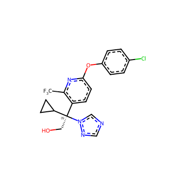 OC[C@@](c1ccc(Oc2ccc(Cl)cc2)nc1C(F)(F)F)(C1CC1)n1cncn1